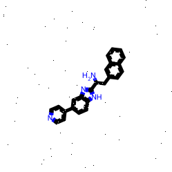 NC(Cc1ccc2ccccc2c1)c1nc2cc(-c3ccncc3)ccc2[nH]1